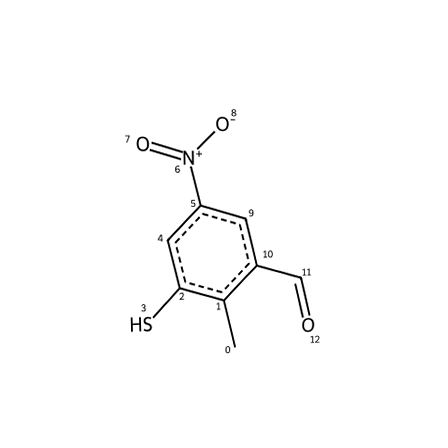 Cc1c(S)cc([N+](=O)[O-])cc1C=O